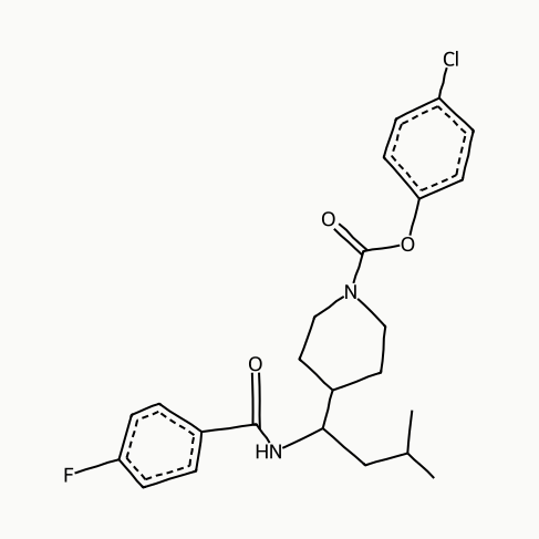 CC(C)CC(NC(=O)c1ccc(F)cc1)C1CCN(C(=O)Oc2ccc(Cl)cc2)CC1